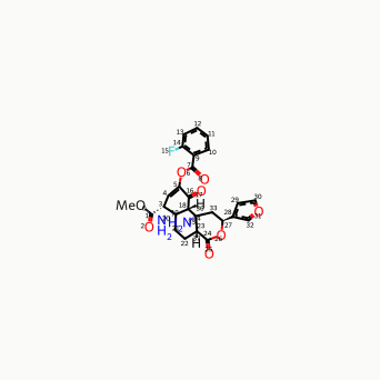 COC(=O)[C@@H]1C=C(OC(=O)c2ccccc2F)C(=O)[C@H]2[C@@]1(N)CC[C@H]1C(=O)O[C@H](c3ccoc3)C[C@]21N